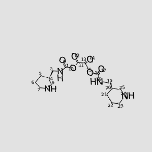 O=C(NC[C@@H]1CCCNC1)OC(=O)C(=O)OC(=O)NC[C@@H]1CCCNC1